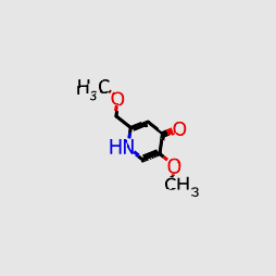 COCc1cc(=O)c(OC)c[nH]1